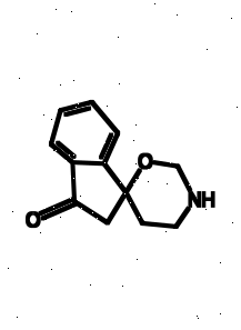 O=C1CC2(CCNCO2)c2ccccc21